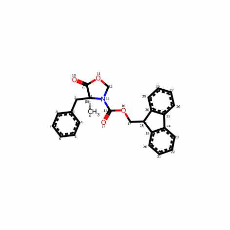 C[C@]1(Cc2ccccc2)C(=O)OCN1C(=O)OCC1c2ccccc2-c2ccccc21